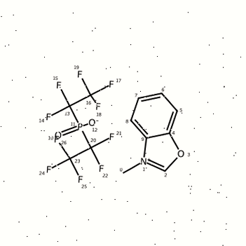 C[n+]1coc2ccccc21.O=P([O-])(C(F)(F)C(F)(F)F)C(F)(F)C(F)(F)F